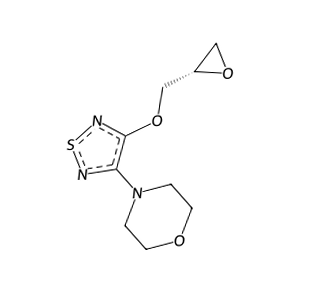 C1CN(c2nsnc2OC[C@@H]2CO2)CCO1